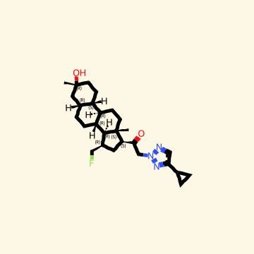 C[C@@]1(O)CC[C@H]2[C@H](CC[C@@H]3[C@@H]2CC[C@@]2(C)[C@H]3[C@H](CF)C[C@@H]2C(=O)Cn2ncc(C3CC3)n2)C1